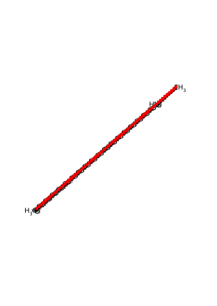 CCCCCCCCCCCCCCCCCC(=O)NCCOCCOCCOCCOCCOCCOCCOCCOCCOCCOCCOCCOCCOCCOCCOCCOCCOCCOCCOCCOCCOCCOCCOCCOCCOCCOCCOCCOCCOCCOCCOCCOCCOCCOCCOCCOCCC(C)=O